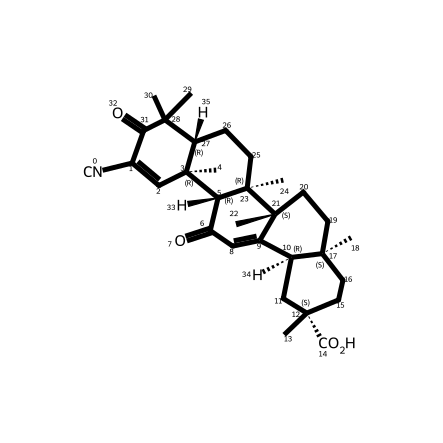 [C-]#[N+]C1=C[C@]2(C)[C@H]3C(=O)C=C4[C@@H]5C[C@@](C)(C(=O)O)CC[C@]5(C)CC[C@@]4(C)[C@]3(C)CC[C@H]2C(C)(C)C1=O